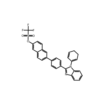 O=S(=O)(Oc1ccc2cc(-c3ccc(-c4nc5ccccc5n4C4=CCCC=C4)cc3)ccc2c1)C(F)(F)F